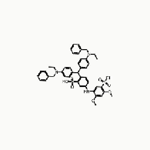 CCN(Cc1ccccc1)c1ccc(C(c2ccc(N(CC)Cc3ccccc3)cc2)c2ccc(Nc3cc(S(=O)(=O)O)c(OC)cc3OC)cc2S(=O)(=O)O)cc1